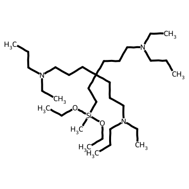 CCCN(CC)CCCC(CCCN(CC)CCC)(CCCN(CC)CCC)CC[Si](C)(OCC)OCC